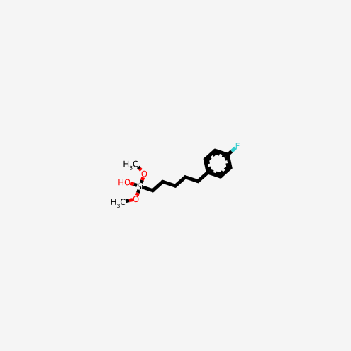 CO[Si](O)(CCCCCc1ccc(F)cc1)OC